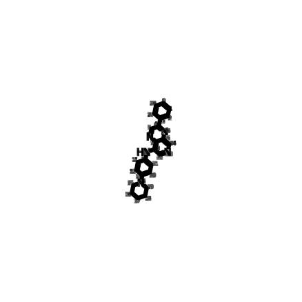 c1ccc(-c2cnc3c(Nc4ccc(N5CCCCC5)cc4)cncc3n2)cc1